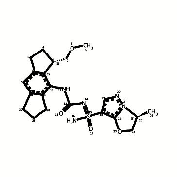 COC[C@H]1CCc2cc3c(c(NC(=O)N=S(N)(=O)c4cnn5c4OC[C@@H]5C)c21)CCC3